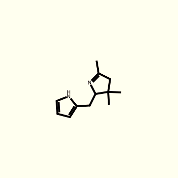 CC1=NC(Cc2ccc[nH]2)C(C)(C)C1